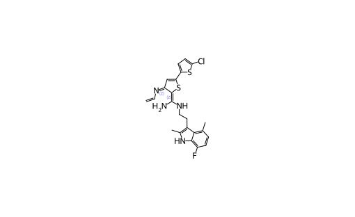 C=C/N=C1/C=C(c2ccc(Cl)s2)S/C1=C(/N)NCCc1c(C)[nH]c2c(F)ccc(C)c12